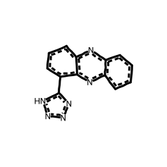 c1ccc2nc3c(-c4nnn[nH]4)cccc3nc2c1